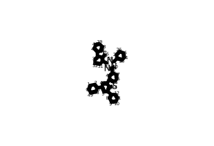 c1ccc(-c2cc(-c3ccccc3)c3sc4ccc(-c5nc(-c6ccccc6)nc(-c6cccc7c6sc6ccccc67)n5)cc4c3c2)cc1